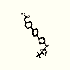 CC(C)(C)c1nnc(Nc2ccc(-c3ccc(C4CCC(CC(=O)O)CC4)cc3)nc2)o1